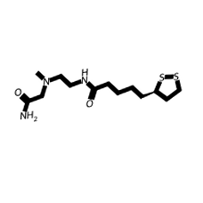 CN(CCNC(=O)CCCC[C@@H]1CCSS1)CC(N)=O